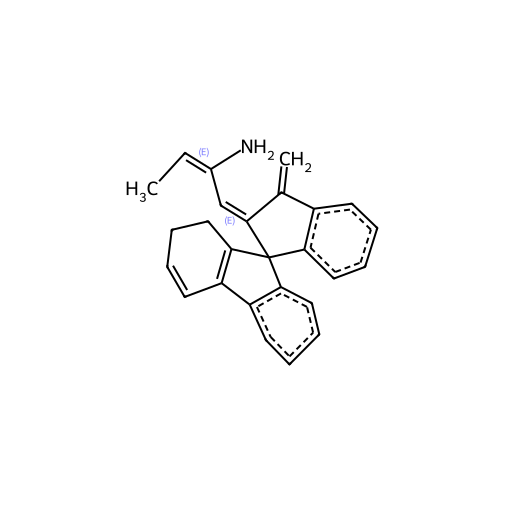 C=C1/C(=C\C(N)=C/C)C2(C3=C(C=CCC3)c3ccccc32)c2ccccc21